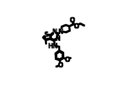 CCOC(=O)C1CCN(c2nc(NCc3ccc(OC)c(OC)c3)c3c(C)csc3n2)CC1